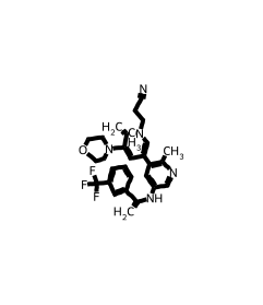 C=C/C(=C\C(=C/N(C)CCC#N)c1cc(NC(=C)c2cccc(C(F)(F)F)c2)cnc1C)N1CCOCC1